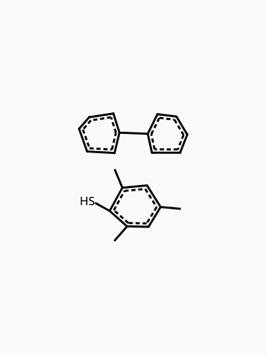 Cc1cc(C)c(S)c(C)c1.c1ccc(-c2ccccc2)cc1